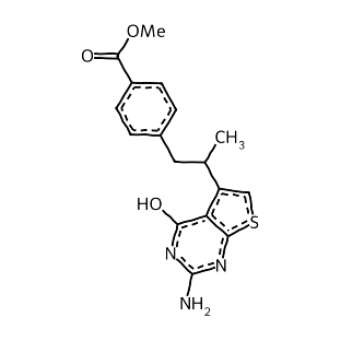 COC(=O)c1ccc(CC(C)c2csc3nc(N)nc(O)c23)cc1